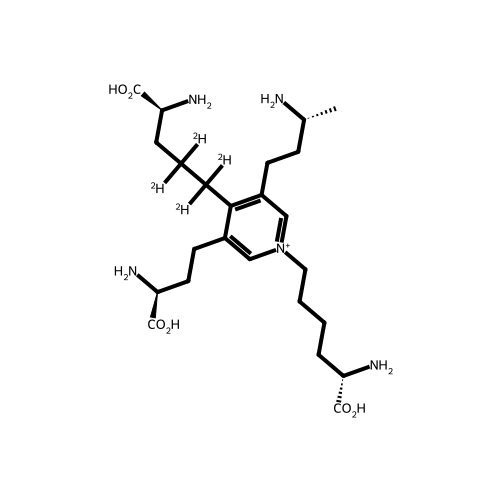 [2H]C([2H])(C[C@H](N)C(=O)O)C([2H])([2H])c1c(CC[C@@H](C)N)c[n+](CCCC[C@H](N)C(=O)O)cc1CC[C@H](N)C(=O)O